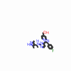 Cc1n[nH]c(C)c1C(C)Nc1nccc(-c2c(-c3ccc(F)cc3)nc3cc(CO)ccn23)n1